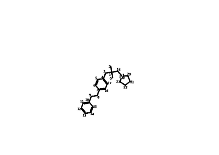 CC(C)(Cc1ccc(CCc2ccccc2)cc1)CN1CCCC1